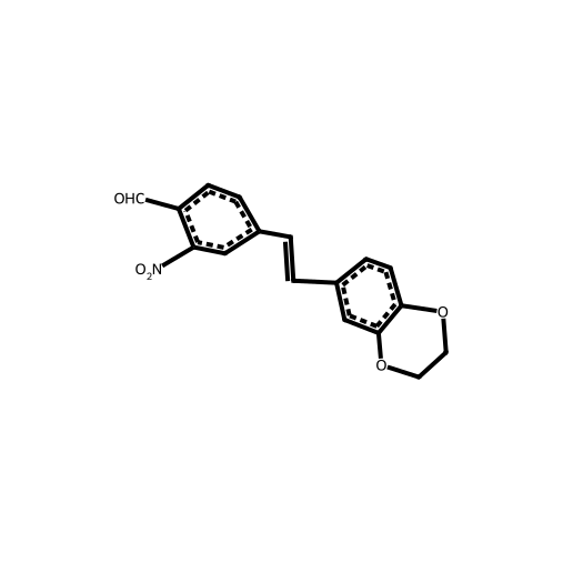 O=Cc1ccc(/C=C/c2ccc3c(c2)OCCO3)cc1[N+](=O)[O-]